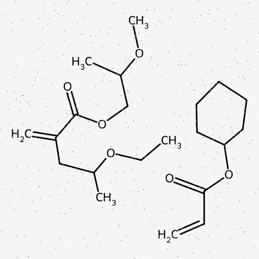 C=C(CC(C)OCC)C(=O)OCC(C)OC.C=CC(=O)OC1CCCCC1